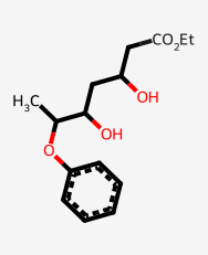 CCOC(=O)CC(O)CC(O)C(C)Oc1ccccc1